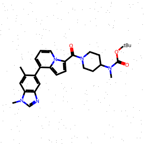 Cc1cc2c(cc1-c1cccn3c(C(=O)N4CCC(N(C)C(=O)OC(C)(C)C)CC4)ccc13)ncn2C